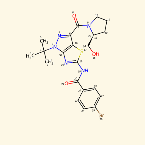 CC(C)(C)n1nc(C(=O)N2CCC[C@H]2CO)c2sc(NC(=O)c3ccc(Br)cc3)nc21